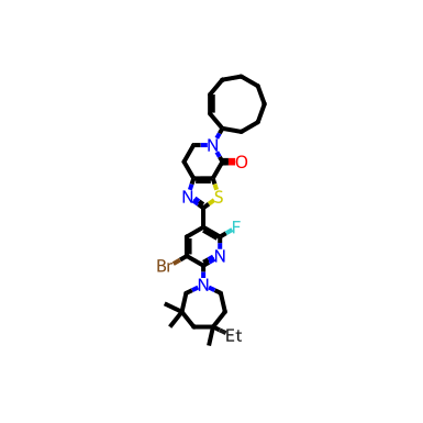 CCC1(C)CCN(c2nc(F)c(-c3nc4c(s3)C(=O)N(C3C=CCCCCCC3)CC4)cc2Br)CC(C)(C)C1